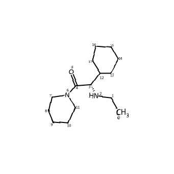 CCN[C@H](C(=O)N1CCCCC1)C1CCCCC1